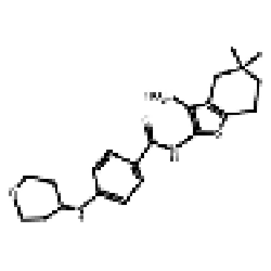 CC1(C)CCc2sc(NC(=O)c3ccc(NC4CCOCC4)cc3)c(C(=O)O)c2C1